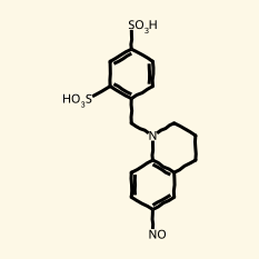 O=Nc1ccc2c(c1)CCCN2Cc1ccc(S(=O)(=O)O)cc1S(=O)(=O)O